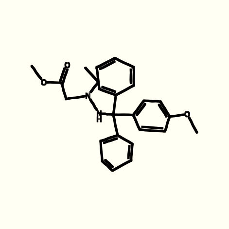 CCN(CC(=O)OC)NC(c1ccccc1)(c1ccccc1)c1ccc(OC)cc1